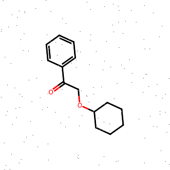 O=C(COC1CCCCC1)c1ccccc1